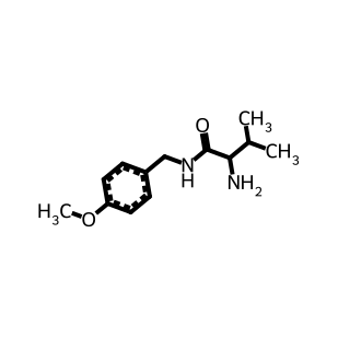 COc1ccc(CNC(=O)C(N)C(C)C)cc1